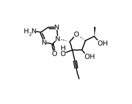 CC#CC1(O)C(O)[C@@H]([C@@H](C)O)O[C@H]1n1ncc(N)nc1=O